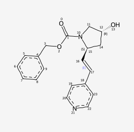 O=C(OCc1ccccc1)N1C[C@H](O)C[C@H]1/C=C/c1ccncc1